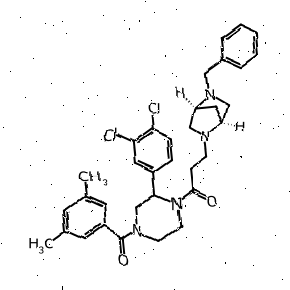 Cc1cc(C)cc(C(=O)N2CCN(C(=O)CCN3C[C@@H]4C[C@H]3CN4Cc3ccccc3)C(c3ccc(Cl)c(Cl)c3)C2)c1